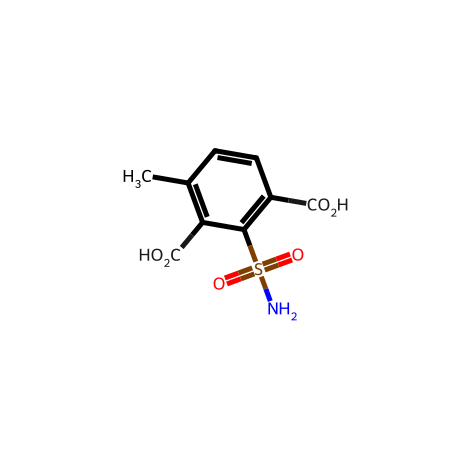 Cc1ccc(C(=O)O)c(S(N)(=O)=O)c1C(=O)O